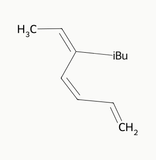 C=C/C=C\C(=C/C)C(C)CC